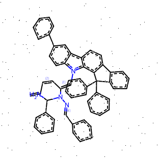 C=C/C=C\C(=C/n1c2ccc(-c3ccccc3)cc2c2ccc3c(c21)C(c1ccccc1)(c1ccccc1)c1ccccc1-3)N(/N=C/c1ccccc1)C(N)c1ccccc1